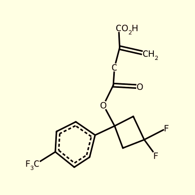 C=C(CC(=O)OC1(c2ccc(C(F)(F)F)cc2)CC(F)(F)C1)C(=O)O